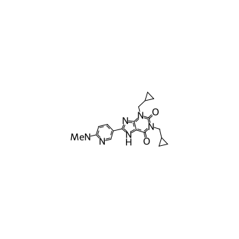 CNc1ccc(-c2nc3c([nH]2)c(=O)n(CC2CC2)c(=O)n3CC2CC2)cn1